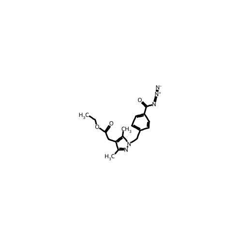 CCOC(=O)Cc1c(C)nn(Cc2ccc(C(=O)N=[N+]=[N-])cc2)c1C